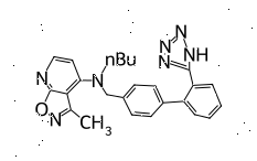 CCCCN(Cc1ccc(-c2ccccc2-c2nnn[nH]2)cc1)c1ccnc2onc(C)c12